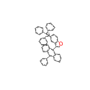 c1ccc(-c2c3ccccc3c(-c3coc4ccc([Si](c5ccccc5)(c5ccccc5)c5ccccc5)cc34)c3ccccc23)cc1